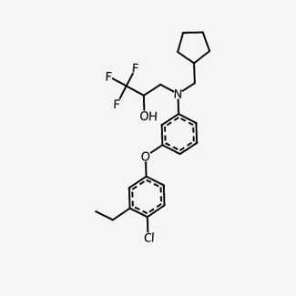 CCc1cc(Oc2cccc(N(CC3CCCC3)CC(O)C(F)(F)F)c2)ccc1Cl